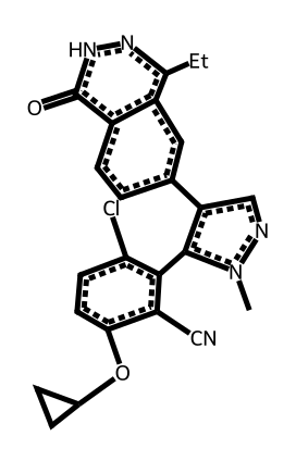 CCc1n[nH]c(=O)c2ccc(-c3cnn(C)c3-c3c(Cl)ccc(OC4CC4)c3C#N)cc12